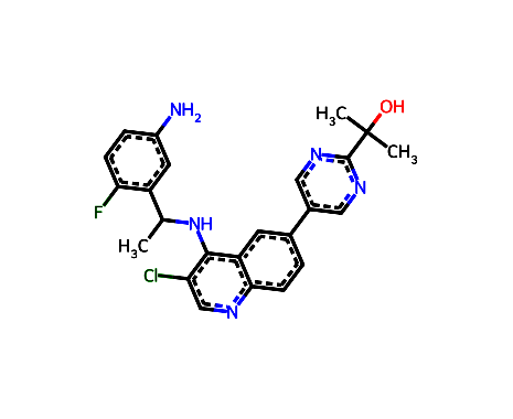 CC(Nc1c(Cl)cnc2ccc(-c3cnc(C(C)(C)O)nc3)cc12)c1cc(N)ccc1F